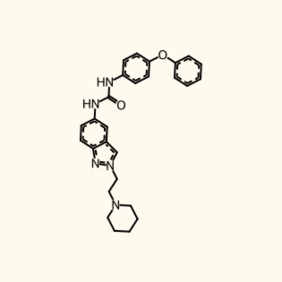 O=C(Nc1ccc(Oc2ccccc2)cc1)Nc1ccc2nn(CCN3CCCCC3)cc2c1